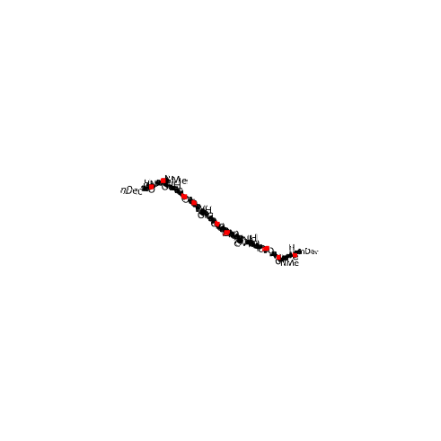 CCCCCCCCCCCCCC(=O)NCCCCC(NC)C(=O)NCCCOCCOCCOCCCNC(=O)CCOCCOCCOCCOCCOCCC(=O)NCCCOCCOCCOCCCNC(=O)[C@H](CCCCNC(=O)CCCCCCCCCCCCC)NC